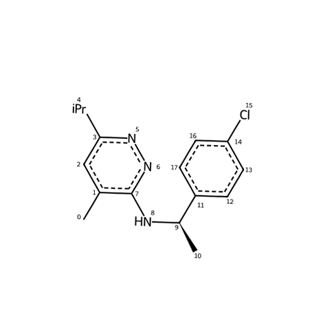 Cc1cc(C(C)C)nnc1N[C@H](C)c1ccc(Cl)cc1